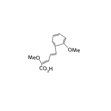 CO/C(=C\C=C\c1ccccc1OC)C(=O)O